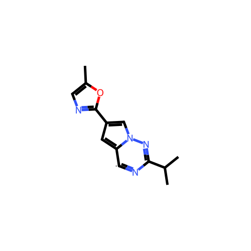 Cc1cnc(-c2cc3[c]nc(C(C)C)nn3c2)o1